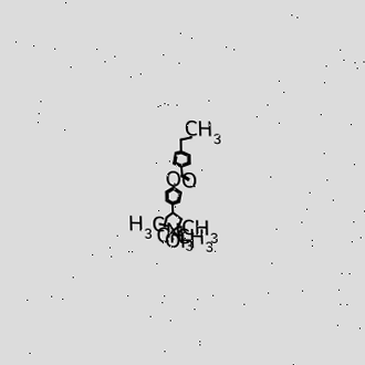 CCCc1ccc(C(=O)Oc2ccc(C3CC(C)(C)N(O)C(C)(C)C3)cc2)cc1